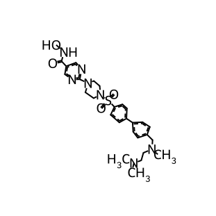 CN(C)CCN(C)Cc1ccc(-c2ccc(S(=O)(=O)N3CCN(c4ncc(C(=O)NO)cn4)CC3)cc2)cc1